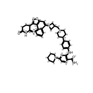 NC(=O)c1ncc(N2CCCCC2)nc1Nc1ccc(C2CCN(CC3CN(c4cc5onc(C6CCC(=O)NC6=O)c5c5ccccc45)C3)CC2)cc1